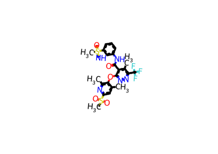 Cc1cc(S(C)(=O)=O)nc(C)c1Oc1nnc(C(F)(F)F)c(C)c1C(=O)Nc1cccc(S(C)(=N)=O)c1